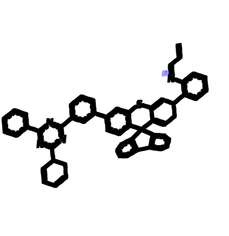 C=C/C=N\c1ccccc1C1C=C2Sc3cc(-c4cccc(-c5nc(-c6ccccc6)nc(C6C=CC=CC6)n5)c4)ccc3C3(C2=CC1)c1ccccc1-c1ccccc13